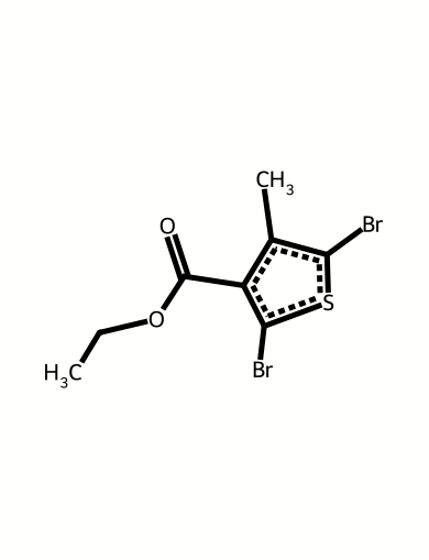 CCOC(=O)c1c(Br)sc(Br)c1C